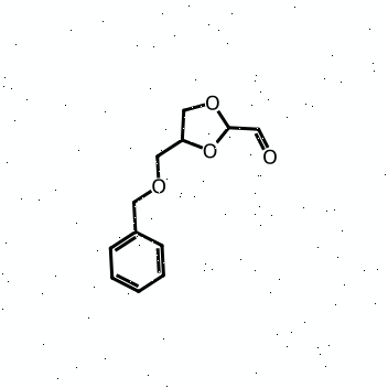 O=CC1OCC(COCc2ccccc2)O1